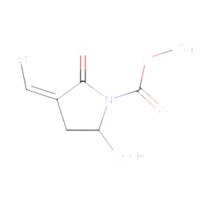 CCC=C1CC(C(=O)O)N(C(=O)OC(C)(C)C)C1=O